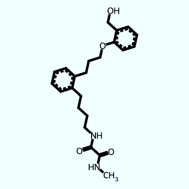 CNC(=O)C(=O)NCCCCc1ccccc1CCCOc1ccccc1CO